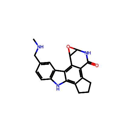 CNCc1ccc2[nH]c3c4c(c5c(c3c2c1)C1OC1NC5=O)CCC4